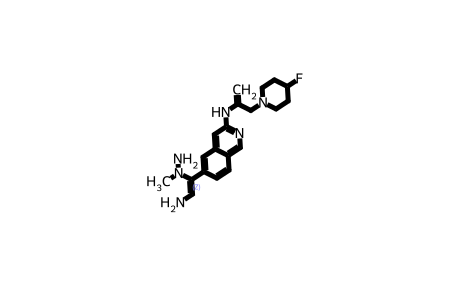 C=C(CN1CCC(F)CC1)Nc1cc2cc(/C(=C/N)N(C)N)ccc2cn1